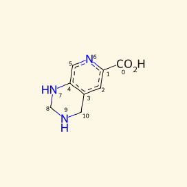 O=C(O)c1cc2c(cn1)NCNC2